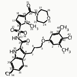 Cc1cc(OCCCc2c(C(=O)NS(=O)(=O)c3ccc(C(=O)N4CCOCC4)n3C)[nH]c3cc(Cl)ccc23)cc(C)c1Cl